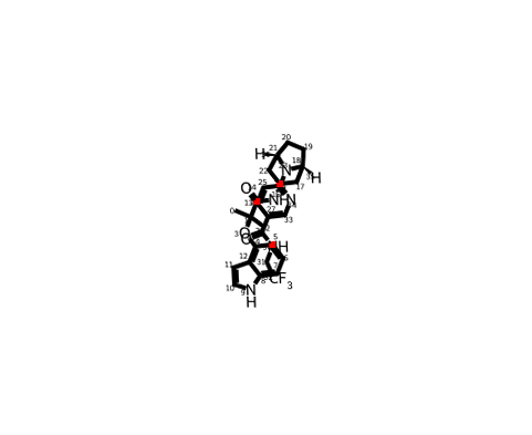 CC(C)(Oc1cccc2[nH]ccc12)C(=O)N[C@H]1C[C@H]2CC[C@@H](C1)N2c1ccc(C(=O)NCC(F)(F)F)cn1